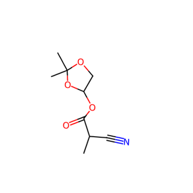 CC(C#N)C(=O)OC1COC(C)(C)O1